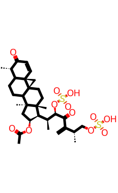 C=C(C(=O)[C@H](OS(=O)(=O)O)[C@@H](C)[C@H]1[C@@H](OC(C)=O)C[C@@]2(C)C3CCC4[C@H](C)C(=O)C=C[C@@]45C[C@@]35CC[C@]12C)[C@@H](C)COS(=O)(=O)O